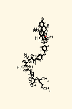 CCCCC(C)SC(CC(=O)O)C(=O)NCCC(=O)N[C@@H](C)C(=O)N[C@@H](C)C(=O)Nc1ccc(Sc2ccc([C@@H]3O[C@@H]4CC5[C@@H]6C[C@H](F)C7=CC(=O)C=C[C@]7(C)[C@@]6(F)[C@@H](O)C[C@]5(C)[C@]4(C(=O)CO)O3)cc2)cc1